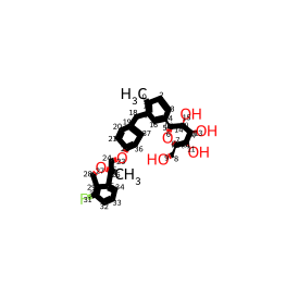 Cc1ccc([C@@H]2O[C@H](CO)[C@@H](O)[C@H](O)[C@H]2O)cc1Cc1ccc(OCC2(C)OCc3c(F)cccc32)cc1